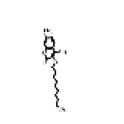 CCCCCCCCCCOc1c(O)c2ccc(OC)cc2oc1=O